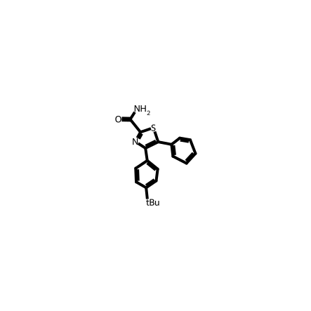 CC(C)(C)c1ccc(-c2nc(C(N)=O)sc2-c2ccccc2)cc1